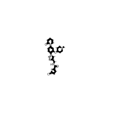 CN1CCC(Oc2cc(-n3ccccc3=O)ccc2-n2cc(CNC(=O)c3ccc(Cl)s3)nn2)CC1